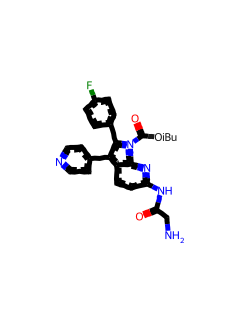 CC(C)COC(=O)n1c(-c2ccc(F)cc2)c(-c2ccncc2)c2ccc(NC(=O)CN)nc21